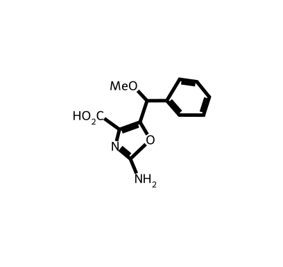 COC(c1ccccc1)c1oc(N)nc1C(=O)O